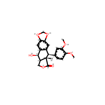 COc1ccc([C@@H]2c3cc4c(cc3[C@H](O)C3COC(=O)[C@H]32)OCO4)cc1OC